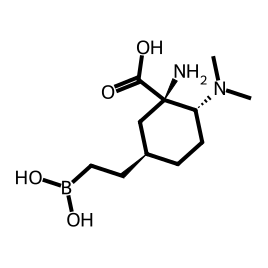 CN(C)[C@@H]1CC[C@@H](CCB(O)O)C[C@]1(N)C(=O)O